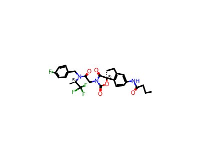 CCCC(=O)Nc1ccc2c(c1)CC[C@@]21OC(=O)N(CC(=O)N(Cc2ccc(F)cc2)[C@H](C)C(F)(F)F)C1=O